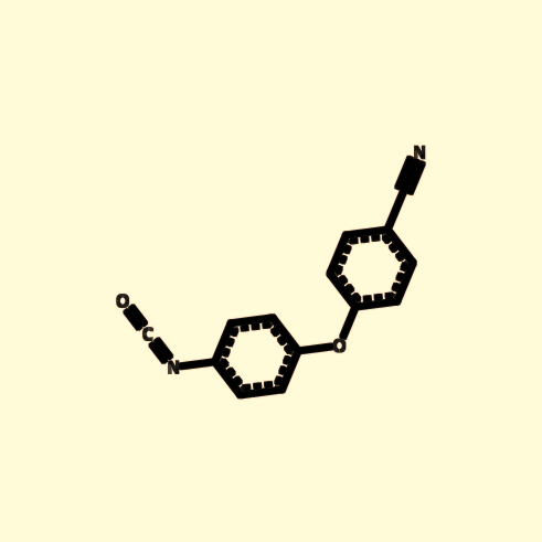 N#Cc1ccc(Oc2ccc(N=C=O)cc2)cc1